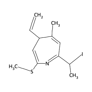 C=CC1C=C(SC)N=C(C(C)I)C=C1C